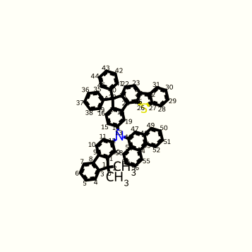 CC1(C)c2ccccc2-c2ccc(N(c3ccc4c(c3)-c3c(ccc5c3sc3ccccc35)C4(c3ccccc3)c3ccccc3)c3cc4ccccc4c4ccccc34)cc21